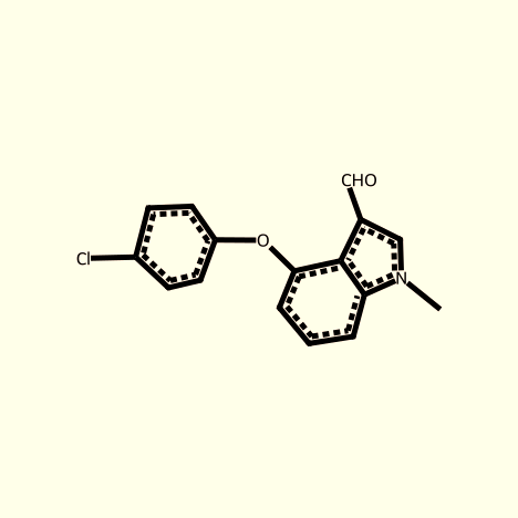 Cn1cc(C=O)c2c(Oc3ccc(Cl)cc3)cccc21